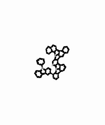 c1ccc(-n2c3ccccc3c3cc(-c4cccc5c6cccc7c8c9c%10cc%11ccccc%11c%11c%12ccc%13ccccc%13c%12n(c9cnc8n(c45)c67)c%10%11)ccc32)cc1